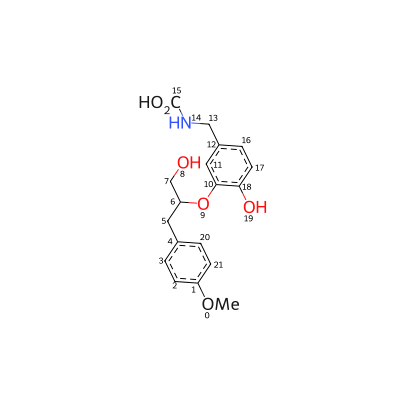 COc1ccc(CC(CO)Oc2cc(CNC(=O)O)ccc2O)cc1